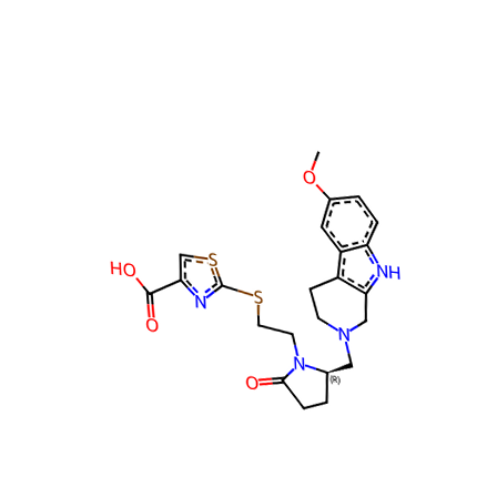 COc1ccc2[nH]c3c(c2c1)CCN(C[C@H]1CCC(=O)N1CCSc1nc(C(=O)O)cs1)C3